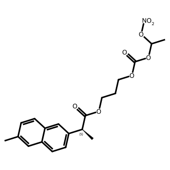 Cc1ccc2cc([C@H](C)C(=O)OCCCOC(=O)OC(C)O[N+](=O)[O-])ccc2c1